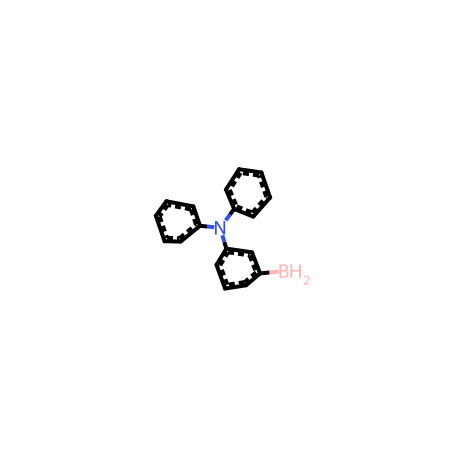 Bc1cccc(N(c2ccccc2)c2ccccc2)c1